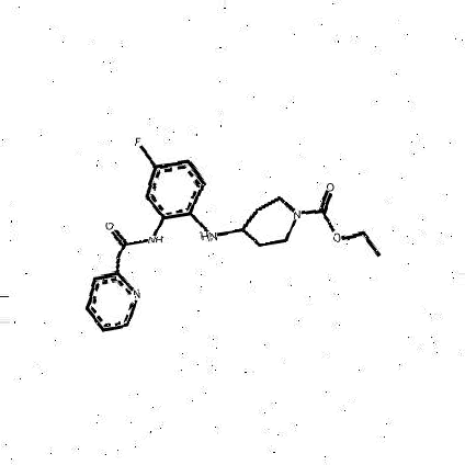 CCOC(=O)N1CCC(Nc2ccc(F)cc2NC(=O)c2ccccn2)CC1